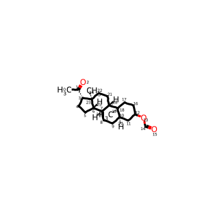 CC(=O)[C@H]1CC[C@H]2[C@@H]3CC[C@@H]4CC(OC=O)CC[C@]4(C)[C@H]3CC[C@]12C